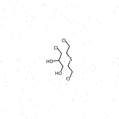 ClCCSCCCl.OCC(O)CCl